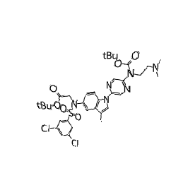 Cc1cn(-c2cnc(N(CCN(C)C)C(=O)OC(C)(C)C)cn2)c2ccc(N(CC(=O)OC(C)(C)C)S(=O)(=O)c3cc(Cl)cc(Cl)c3)cc12